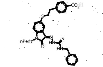 CCCCCN1C(=O)C(=NNC(=S)NCc2ccccc2)c2cc(SCCc3ccc(C(=O)O)cc3)ccc21